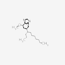 CCCCCCCC(CCC)c1cc(OC)c2ncnn2c1